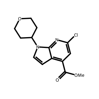 COC(=O)c1cc(Cl)nc2c1ccn2C1CCOCC1